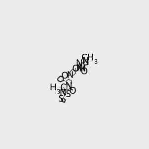 Cc1nc(-c2cccs2)sc1C(=O)N1CC[C@@H](C(=O)N2CCC(O)(Cn3cnc4c(ccn4C)c3=O)CC2)[C@H](c2ccccc2)C1